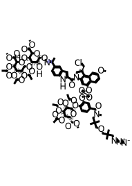 COC(=O)C1O[C@@H](O/N=C(\C)c2ccc3[nH]c(C(=O)N4C[C@@H](CCl)c5c4cc(OS(=O)(=O)Oc4cc(C(=O)N(C)CC(C)(C)COCC(C)(C)CN=[N+]=[N-])ccc4O[C@@H]4O[C@H](C(=O)OC)[C@@H](OC(C)=O)[C@H](OC(C)=O)[C@H]4OC(C)=O)c4ccc(OC)cc54)cc3c2)[C@H](O)[C@@H](OC2OC(C(=O)OC)[C@@H](OC(C)=O)[C@H](OC(C)=O)[C@H]2OC(C)=O)[C@@H]1O